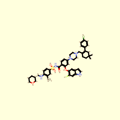 CC1(C)CCC(CN2CCN(c3ccc(C(=O)NS(=O)(=O)c4ccc(NC[C@H]5CCCOC5)c([N+](=O)[O-])c4)c(Oc4cc5cc[nH]c5cc4F)c3)CC2)=C(c2ccc(Cl)cc2)C1